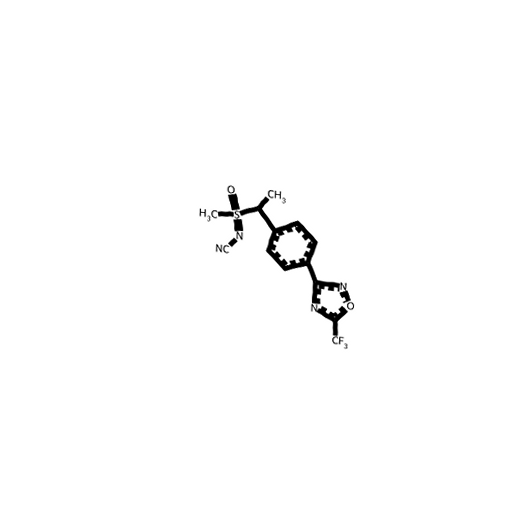 CC(c1ccc(-c2noc(C(F)(F)F)n2)cc1)S(C)(=O)=NC#N